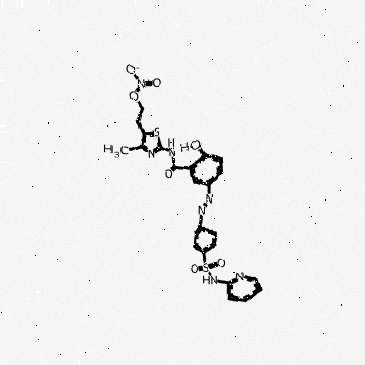 Cc1nc(NC(=O)c2cc(N=Nc3ccc(S(=O)(=O)Nc4ccccn4)cc3)ccc2O)sc1CCO[N+](=O)[O-]